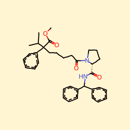 COC(=O)C(CCCCC(=O)N1CCC[C@@H]1C(=O)NC(c1ccccc1)c1ccccc1)(c1ccccc1)C(C)C